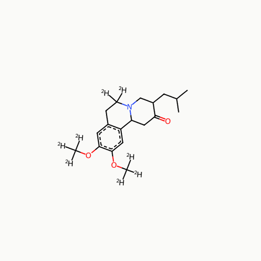 [2H]C([2H])([2H])Oc1cc2c(cc1OC([2H])([2H])[2H])C1CC(=O)C(CC(C)C)CN1C([2H])([2H])C2